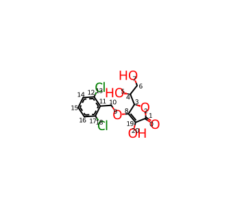 O=C1O[C@H]([C@@H](O)CO)C(OCc2c(Cl)cccc2Cl)=C1O